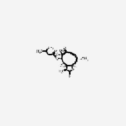 C=C1C(=O)O[C@@H]2C[C@@H](C)/C=C\C(=O)[C@@](C)(O)[C@H](OC(=O)CC(C)C)[C@@H](O)[C@@H]12